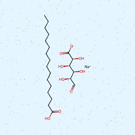 CCCCCCCCCCCCCCCC(=O)O.O=C[C@@H](O)[C@H](O)[C@@H](O)[C@H](O)C(=O)[O-].[Na+]